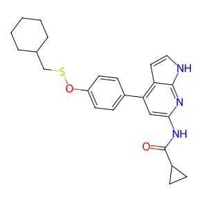 O=C(Nc1cc(-c2ccc(OSCC3CCCCC3)cc2)c2cc[nH]c2n1)C1CC1